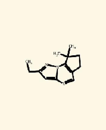 CCc1cc2ncc3c(n2n1)C(C)(C)CC3